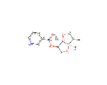 CC1CO[C@H]2[C@@H]1OC[C@H]2OC(=O)c1cccnc1